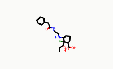 CCC(O)C1(F)C(NCCNC(=O)Cc2ccccc2)=CC=CC1C(=O)O